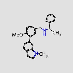 COc1ccc(CN[C@H](C)c2ccccc2)cc1-c1ccc2ccn(C)c2c1